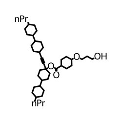 CCCC1CCC(C2CCC(C#CC3(OC(=O)C4CCC(OCCCO)CC4)CCC(C4CCC(CCC)CC4)CC3)CC2)CC1